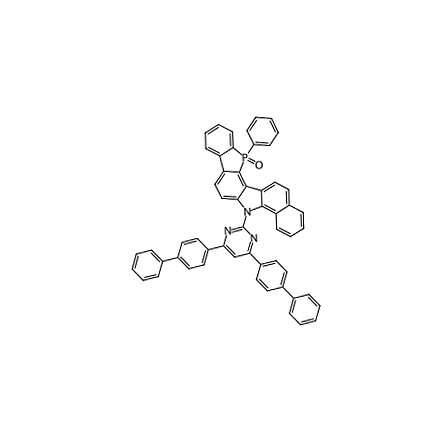 O=P1(c2ccccc2)c2ccccc2-c2ccc3c(c21)c1ccc2ccccc2c1n3-c1nc(-c2ccc(-c3ccccc3)cc2)cc(-c2ccc(-c3ccccc3)cc2)n1